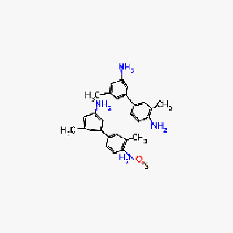 Cc1cc(N)cc(-c2ccc(N)c(C)c2)c1.Cc1cc(N)cc(-c2ccc(N)c(C)c2)c1.O=S